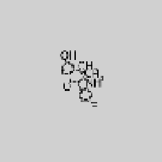 CC1(C)c2cc(O)ccc2C(=O)c2c1[nH]c1cc(F)ccc21